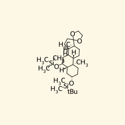 CC(C)(C)[Si](C)(C)O[C@H]1CC[C@@]2(C)[C@H](C1)C(O[Si](C)(C)C)=C[C@@H]1[C@@H]2CC[C@@]2(C)[C@H]1CCC21OCCO1